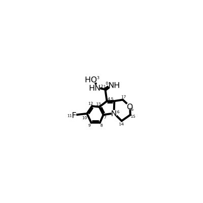 N=C(NO)c1c2n(c3ccc(F)cc13)CCOC2